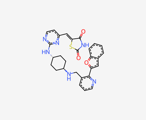 O=C1NC(=O)C(=Cc2ccnc(N[C@H]3CC[C@H](NCc4cccnc4-c4cc5ccccc5o4)CC3)n2)S1